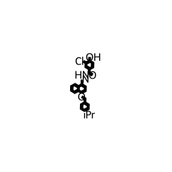 CC(C)c1ccc(COc2ccc(/C=N/NC(=O)c3ccc(O)c(Cl)c3)c3ccccc23)cc1